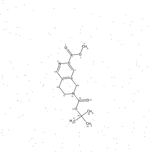 COC(=O)c1cc2c(cn1)CCN(C(=O)OC(C)(C)C)C2